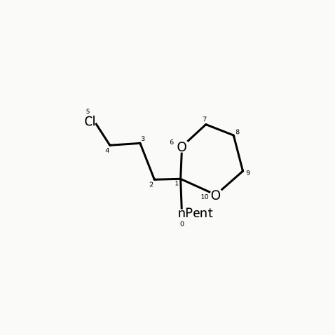 CCCCCC1(CCCCl)OCCCO1